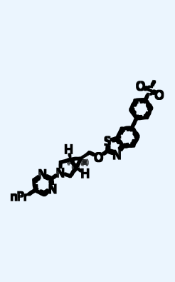 CCCc1cnc(N2C[C@@H]3[C@@H](COc4nc5ccc(-c6ccc(S(C)(=O)=O)cc6)cc5s4)[C@@H]3C2)nc1